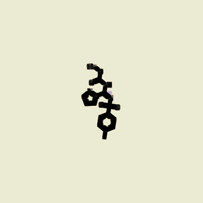 Cc1ccc(S(=O)(=O)/N=C(/NC(=O)OC(C)(C)C)n2cccn2)cc1